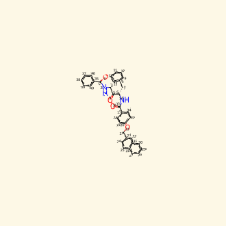 O=C(NCC(=O)[C@H](Cc1ccccc1)NC(=O)c1ccc(OCc2ccc3ccccc3c2)cc1)c1ccccc1